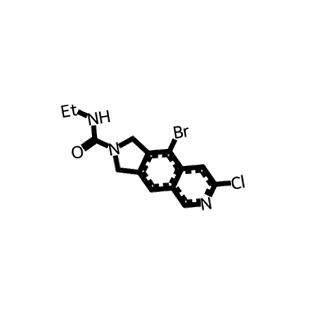 CCNC(=O)N1Cc2cc3cnc(Cl)cc3c(Br)c2C1